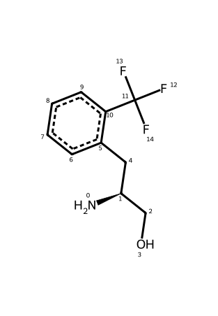 N[C@H](CO)Cc1ccccc1C(F)(F)F